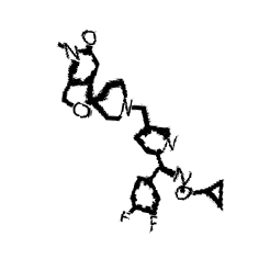 Cn1cc2c(cc1=O)C1(CCN(Cc3ccc(C(=NOC4CC4)c4ccc(F)c(F)c4)nc3)CC1)OC2